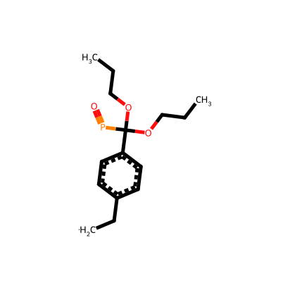 [CH2]Cc1ccc(C(OCCC)(OCCC)P=O)cc1